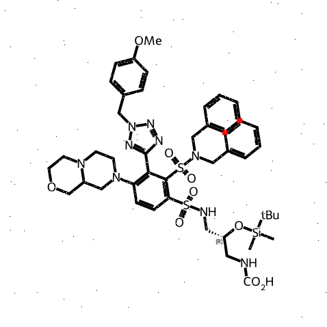 COc1ccc(Cn2nnc(-c3c(N4CCN5CCOCC5C4)ccc(S(=O)(=O)NC[C@@H](CNC(=O)O)O[Si](C)(C)C(C)(C)C)c3S(=O)(=O)N(Cc3ccccc3)Cc3ccccc3)n2)cc1